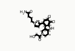 NC(=O)CCCn1ccc(-c2cc(Cl)c(Cl)c3[nH]c4c(c23)CN(C(=O)CO)CC4)n1